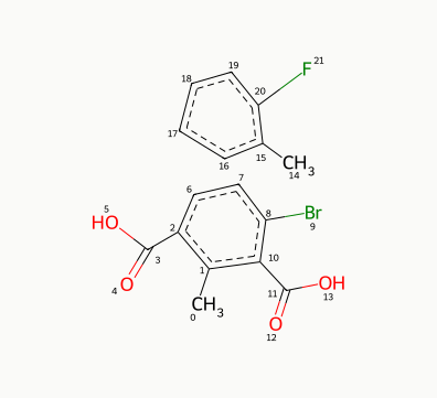 Cc1c(C(=O)O)ccc(Br)c1C(=O)O.Cc1ccccc1F